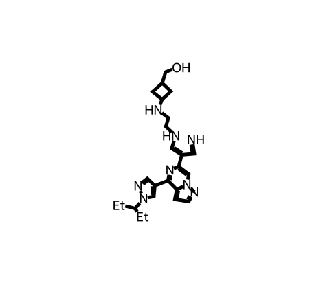 CCC(CC)n1cc(-c2nc(/C(C=N)=C/NCCNC3CC(CO)C3)cn3nccc23)cn1